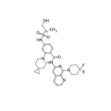 C[C@@H](CO)S(=O)(=O)Nc1ccc(C(=O)Nc2cc3cccnc3c(N3CCC(F)(F)CC3)n2)c(N2CCC3(CC2)CC3)c1